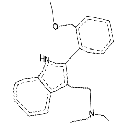 COc1ccccc1-c1[nH]c2ccccc2c1CN(C)C